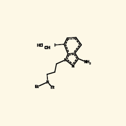 CCN(CC)CCCn1nc(N)c2cccc(I)c21.Cl.Cl